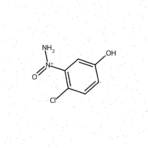 N[N+](=O)c1cc(O)[c]cc1Cl